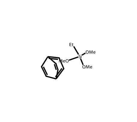 CC[Si](OC)(OC)OC.c1cc2ccc1cc2